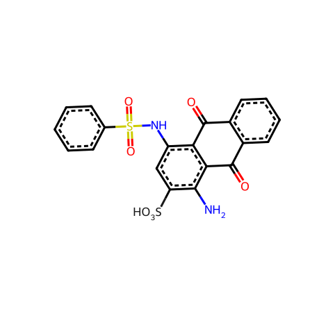 Nc1c(S(=O)(=O)O)cc(NS(=O)(=O)c2ccccc2)c2c1C(=O)c1ccccc1C2=O